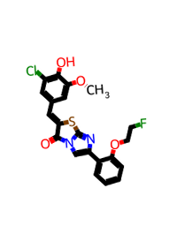 COc1cc(/C=c2\sc3nc(-c4ccccc4OCCF)cn3c2=O)cc(Cl)c1O